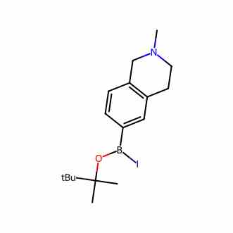 CN1CCc2cc(B(I)OC(C)(C)C(C)(C)C)ccc2C1